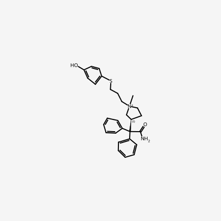 C[N+]1(CCCSc2ccc(O)cc2)CC[C@@H](C(C(N)=O)(c2ccccc2)c2ccccc2)C1